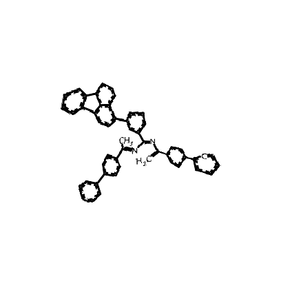 C=C(/N=C(\N=C(/C)c1ccc(-c2ccccc2)cc1)c1cccc(-c2ccc3c4c(cccc24)-c2ccccc2-3)c1)c1ccc(-c2ccccc2)cc1